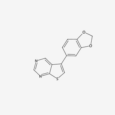 c1ncc2c(-c3ccc4c(c3)OCO4)csc2n1